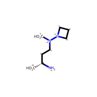 N[C@@H](CCN(C(=O)O)N1CCC1)C(=O)O